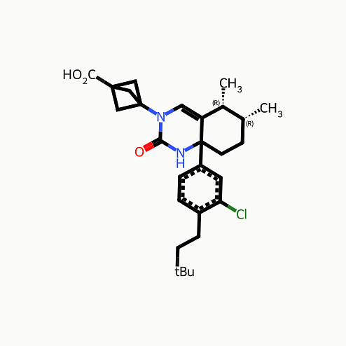 C[C@@H]1CCC2(c3ccc(CCC(C)(C)C)c(Cl)c3)NC(=O)N(C34CC(C(=O)O)(C3)C4)C=C2[C@@H]1C